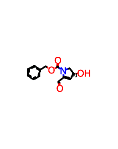 O=CC1=C[C@@H](O)CN1C(=O)OCc1ccccc1